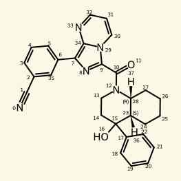 N#Cc1cccc(-c2nc(C(=O)N3CCC(O)(c4ccccc4)[C@H]4CCCC[C@H]43)n3cccnc23)c1